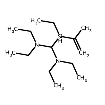 C=C(C)[SiH](CC)C(N(CC)CC)N(CC)CC